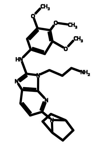 COc1cc(Nc2nc3ccc(N4C5CCC4CC5)nc3n2CCCN)cc(OC)c1OC